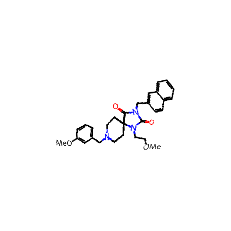 COCCN1C(=O)N(Cc2ccc3ccccc3c2)C(=O)C12CCN(Cc1cccc(OC)c1)CC2